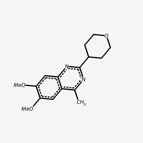 COc1cc2nc(C3CCOCC3)nc(C)c2cc1OC